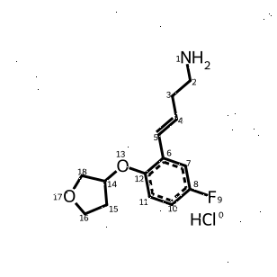 Cl.NCCC=Cc1cc(F)ccc1OC1CCOC1